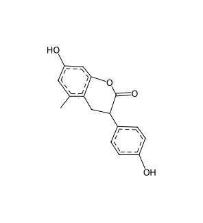 Cc1cc(O)cc2c1CC(c1ccc(O)cc1)C(=O)O2